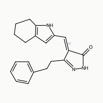 O=C1NN=C(CCc2ccccc2)/C1=C\c1cc2c([nH]1)CCCC2